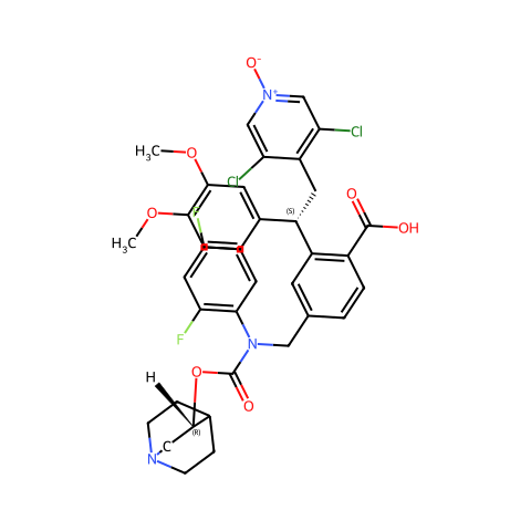 COc1ccc([C@H](Cc2c(Cl)c[n+]([O-])cc2Cl)c2cc(CN(C(=O)O[C@H]3CN4CCC3CC4)c3ccc(F)cc3F)ccc2C(=O)O)cc1OC